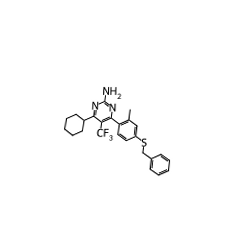 Cc1cc(SCc2ccccc2)ccc1-c1nc(N)nc(C2CCCCC2)c1C(F)(F)F